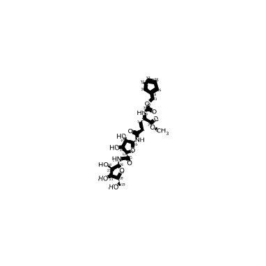 COC(=O)[C@H](CCC(=O)N[C@@H]1O[C@H](C(=O)N[C@@H]2O[C@H](CO)C(O)[C@H]2O)C(O)[C@H]1O)NC(=O)OCc1ccccc1